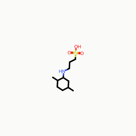 CC1CCC(C)C(NCCCS(=O)(=O)O)C1